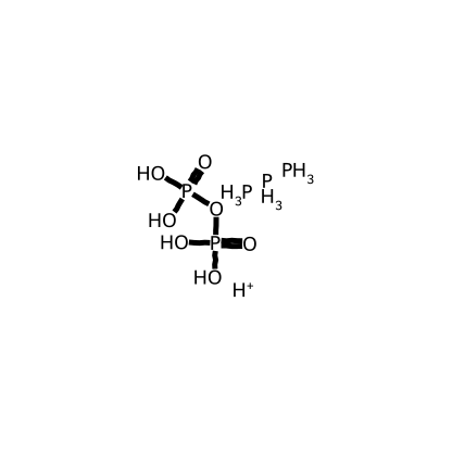 O=P(O)(O)OP(=O)(O)O.P.P.P.[H+]